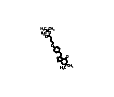 CC1(C)CC(=O)c2c(noc2Cc2ccc(OCCCC(=O)OC(C)(C)C)cc2)C1